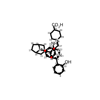 Nc1nnc(-c2ccccc2O)cc1N1CC2CCC(C1)N2c1cccc(CN2CCC(C(=O)O)CC2)c1